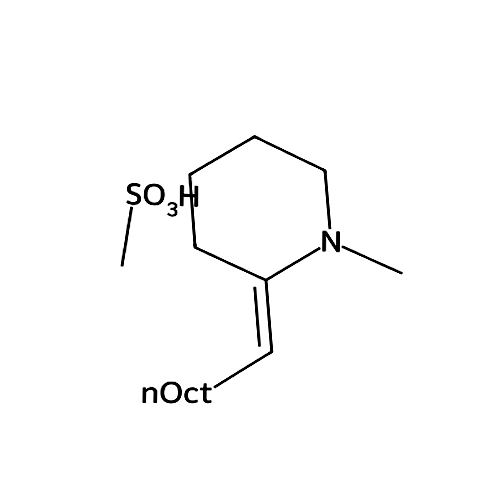 CCCCCCCCC=C1CCCCN1C.CS(=O)(=O)O